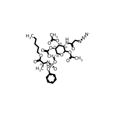 CCCCCOC(=O)[C@H](C)NP(=O)(OC[C@H]1OC(OC(C)=O)[C@@H](NC(=O)CN=[N+]=[N-])[C@@H](OC(C)=O)[C@@H]1OC(C)=O)Oc1ccccc1